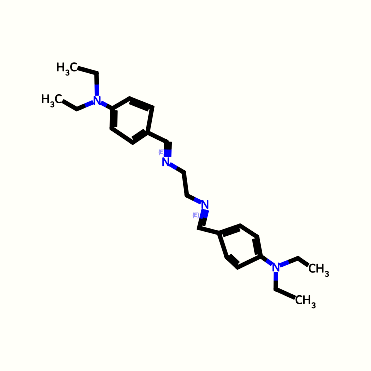 CCN(CC)c1ccc(/C=N/CC/N=C/c2ccc(N(CC)CC)cc2)cc1